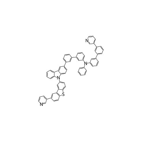 c1ccc(N(c2cccc(-c3cccc(-c4cccnc4)c3)c2)c2cccc(-c3cccc(-c4ccc5c(c4)c4ccccc4n5-c4ccc5sc6ccc(-c7cccnc7)cc6c5c4)c3)c2)cc1